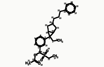 CCC1(c2cccc(N(OC(C)=O)S(=O)(=O)CC)c2)C2CN(CCCc3ccccc3)CC21